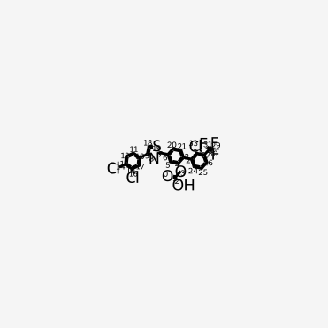 O=C(O)Oc1cc(-c2nc(-c3ccc(Cl)c(Cl)c3)cs2)ccc1-c1cccc(C(F)(F)F)c1Cl